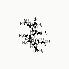 CSCC[C@H](NC(=O)[C@H](CCCNC(=N)N)NC(=O)[C@H](C)N)C(=O)N[C@@H](CC(C)C)C(=O)N[C@@H](C)C(=O)N[C@@H](CCC(N)=O)C(=O)N[C@@H](CCC(=O)O)C(=O)O